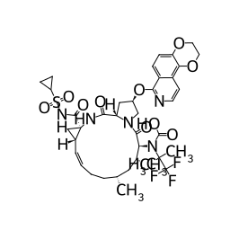 C[C@@H]1CC/C=C\[C@@H]2C[C@@]2(C(=O)NS(=O)(=O)C2CC2)NC(=O)[C@@H]2C[C@@H](Oc3nccc4c5c(ccc34)OCCO5)CN2C(=O)[C@@H](N(C(=O)O)C(C)(C)C(F)(F)F)[C@H](C)C1